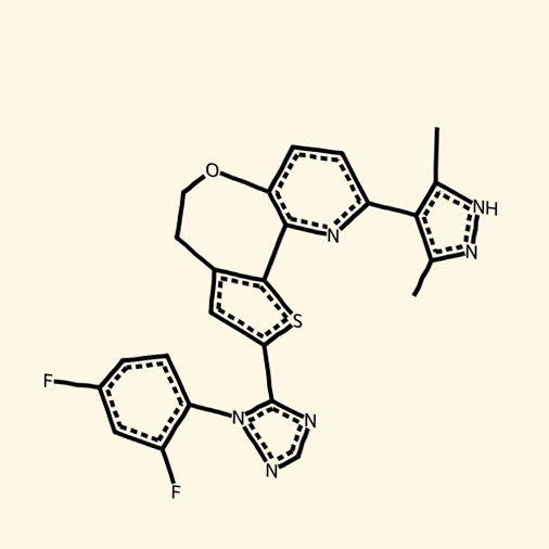 Cc1n[nH]c(C)c1-c1ccc2c(n1)-c1sc(-c3ncnn3-c3ccc(F)cc3F)cc1CCO2